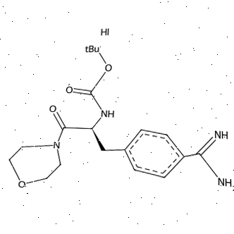 CC(C)(C)OC(=O)N[C@@H](Cc1ccc(C(=N)N)cc1)C(=O)N1CCOCC1.I